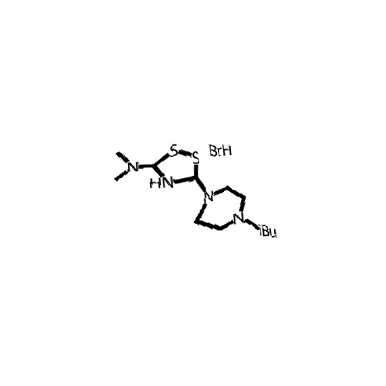 Br.CCC(C)N1CCN(C2NC(N(C)C)SS2)CC1